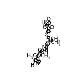 CC(C)N(C1CCN(c2ncc(NC(=O)N3C[C@H](C)N(c4ccc(C#N)c5ncccc45)C[C@H]3C)cn2)CC1)[C@H]1C[C@H](Oc2ccc3c(c2)C(=O)N(C2CCC(=O)NC2=O)C3=O)C1